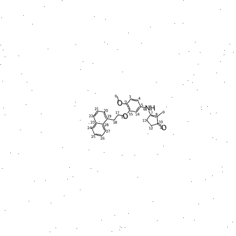 COc1ccc(NC2=C(C)C(=O)CC2)cc1OCCc1cccc2ccccc12